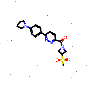 CS(=O)(=O)C1CN(C(=O)c2ccc(-c3ccc(N4CCCC4)cc3)nn2)C1